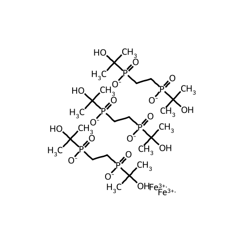 CC(C)(O)P(=O)([O-])CCP(=O)([O-])C(C)(C)O.CC(C)(O)P(=O)([O-])CCP(=O)([O-])C(C)(C)O.CC(C)(O)P(=O)([O-])CCP(=O)([O-])C(C)(C)O.[Fe+3].[Fe+3]